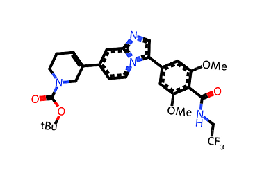 COc1cc(-c2cnc3cc(C4=CCCN(C(=O)OC(C)(C)C)C4)ccn23)cc(OC)c1C(=O)NCC(F)(F)F